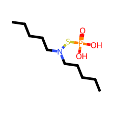 CCCCCN(CCCCC)SP(=O)(O)O